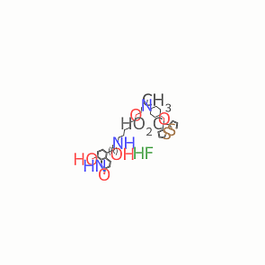 CN(CCOCCCCCCNC[C@H](O)c1ccc(O)c2[nH]c(=O)ccc12)[C@H]1CC[C@H](OC(C(=O)O)(c2cccs2)c2cccs2)CC1.F